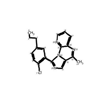 CCCc1ccc(Cl)c(-c2ncc3c(C)nc4cccnc4n23)c1